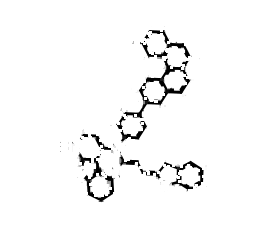 N/C(=C\C=C1/Cc2ccccc2O1)N(C1=CCNc2oc3ccccc3c21)c1ccc(-c2ccc3c(ccc4ccc5ccccc5c43)c2)cc1